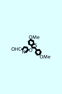 COc1ccc(-c2sc3cc(OC)ccc3c2Oc2ccc(C=O)nc2)cc1